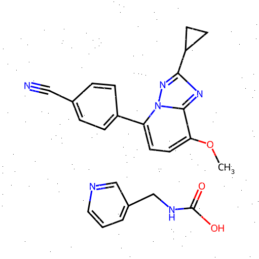 COc1ccc(-c2ccc(C#N)cc2)n2nc(C3CC3)nc12.O=C(O)NCc1cccnc1